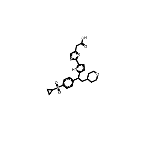 O=C(O)Cc1cnc(-c2ccc(C(CC3CCOCC3)c3ccc(S(=O)(=O)C4CC4)cc3)[nH]2)s1